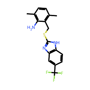 Cc1ccc(C)c(CSc2nc3cc(C(F)(F)F)ccc3[nH]2)c1N